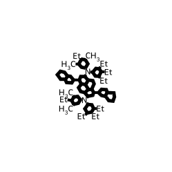 CCc1cc(N(c2cc(C)c(CC)c(C)c2)c2cc(-c3ccc4ccccc4c3)c3ccc4c(N(c5cc(C)c(CC)c(C)c5)c5cc(CC)c(CC)c(CC)c5)cc(-c5ccc6ccccc6c5)c5ccc2c3c54)cc(CC)c1CC